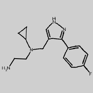 NCCN(Cc1c[nH]nc1-c1ccc(F)cc1)C1CC1